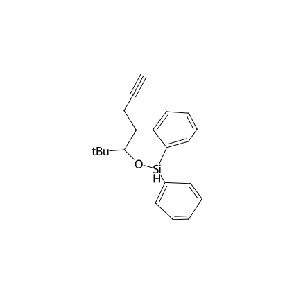 C#CCCC(O[SiH](c1ccccc1)c1ccccc1)C(C)(C)C